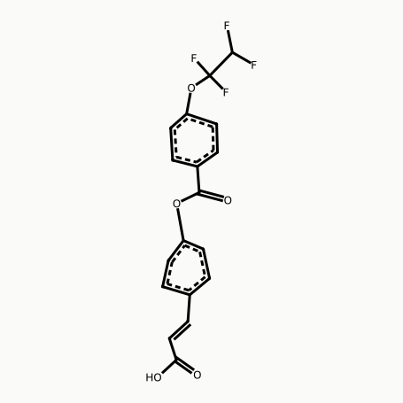 O=C(O)C=Cc1ccc(OC(=O)c2ccc(OC(F)(F)C(F)F)cc2)cc1